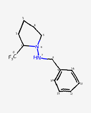 FC(F)(F)C1CCCCN1NCc1ccccc1